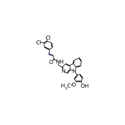 COc1cc(-n2c3ccccc3c3cc(CNC(=O)/C=C/c4ccc(Cl)c(Cl)c4)ncc32)ccc1O